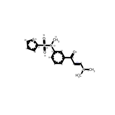 CN(C)/C=C/C(=O)c1cccc(N(C)S(=O)(=O)c2cccs2)c1